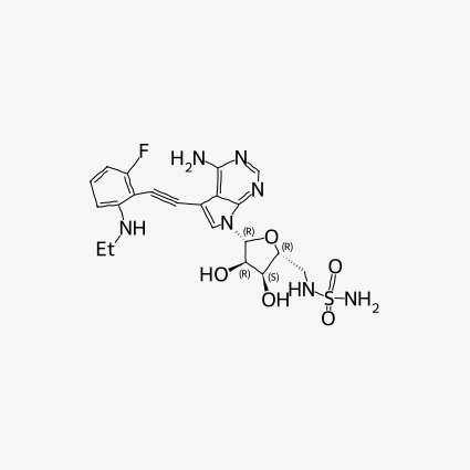 CCNc1cccc(F)c1C#Cc1cn([C@@H]2O[C@H](CNS(N)(=O)=O)[C@@H](O)[C@H]2O)c2ncnc(N)c12